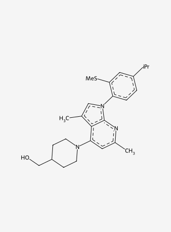 CSc1cc(C(C)C)ccc1-n1cc(C)c2c(N3CCC(CO)CC3)cc(C)nc21